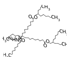 CCCCCCCCS(=N)(=O)N(CC1CCN(C)CC1)C(CCCCCCCCC(=O)OCC(CCCC)CCCCCC)CCCCCCCCC(=O)OCC(CCCC)CCCCCC